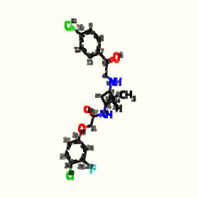 C[C@H]1C2(NCC(=O)c3ccc(Cl)cc3)CC1(NC(=O)COc1ccc(Cl)c(F)c1)C2